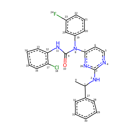 CC(Nc1nccc(N(C(=O)Nc2ccccc2Cl)c2cccc(F)c2)n1)c1ccccc1